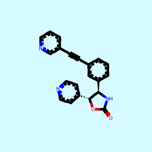 O=C1N[C@H](c2cccc(C#Cc3cccnc3)c2)[C@@H](c2ccncc2)O1